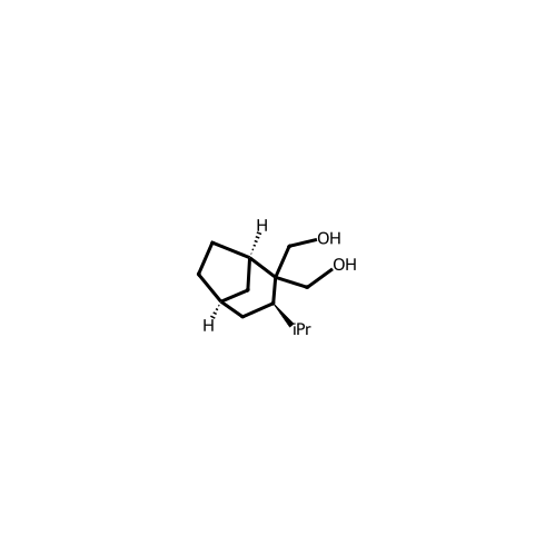 CC(C)[C@H]1C[C@H]2CC[C@H](C2)C1(CO)CO